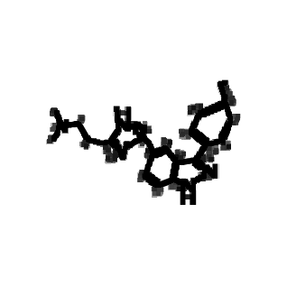 CN(C)CCc1nc(-c2ccc3[nH]nc(-c4ccc(F)cc4)c3c2)n[nH]1